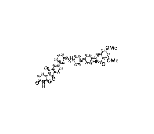 COc1cc(OC)c2c(=O)[nH]c(-c3ccc(N4CCC(CN[C@H]5CCCN(c6ccc7c(c6)C(=O)N(C6CCC(=O)NC6=O)C7=O)C5)CC4)cc3)nc2c1